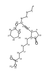 CCCCCC(C#CC1CCC(=O)C1CCCCCCC(=O)OC)OC1CCCCO1